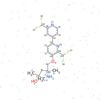 CC(C)(O)C[C@](C)(N)COc1ccc(-c2ccnc(C(F)F)c2)nc1C(F)F